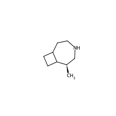 C[C@@H]1CNCCC2CCC21